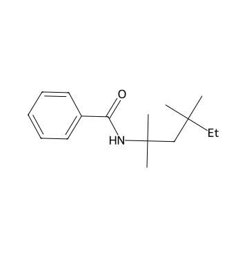 CCC(C)(C)CC(C)(C)NC(=O)c1ccccc1